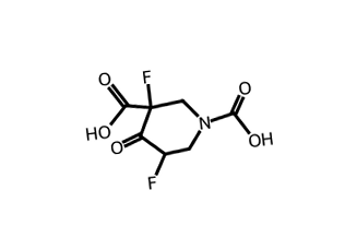 O=C(O)N1CC(F)C(=O)C(F)(C(=O)O)C1